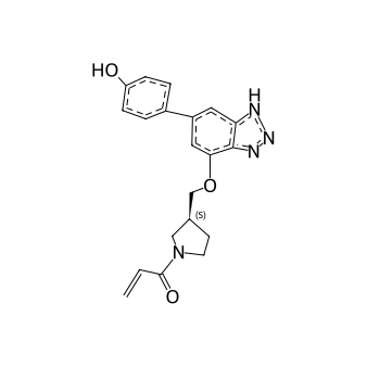 C=CC(=O)N1CC[C@H](COc2cc(-c3ccc(O)cc3)cc3[nH]nnc23)C1